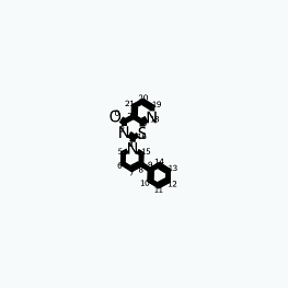 O=c1nc(N2CCC=C(c3ccccc3)C2)sc2ncccc12